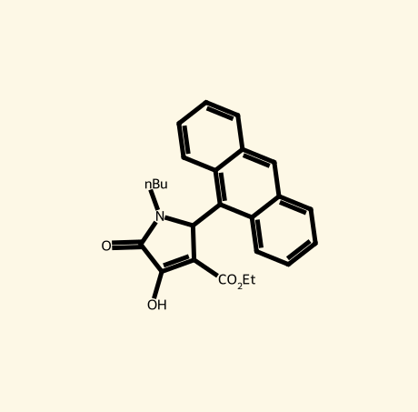 CCCCN1C(=O)C(O)=C(C(=O)OCC)C1c1c2ccccc2cc2ccccc12